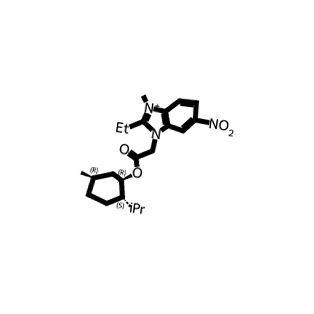 CCc1n(CC(=O)O[C@@H]2C[C@H](C)CC[C@H]2C(C)C)c2cc([N+](=O)[O-])ccc2[n+]1C